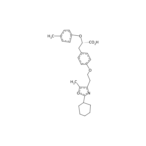 Cc1ccc(O[C@@H](Cc2ccc(OCCc3nc(C4CCCCC4)oc3C)cc2)C(=O)O)cc1